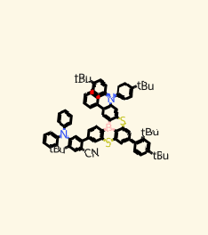 CC(C)(C)C1=CC=C(N(c2ccc(C(C)(C)C)cc2)c2cc3c(cc2-c2c#cccc2)B2c4ccc(-c5cc(N(c6ccccc6)c6ccccc6)c(C(C)(C)C)cc5C#N)cc4Sc4cc(-c5ccc(C(C)(C)C)cc5C(C)(C)C)cc(c42)S3)CC1